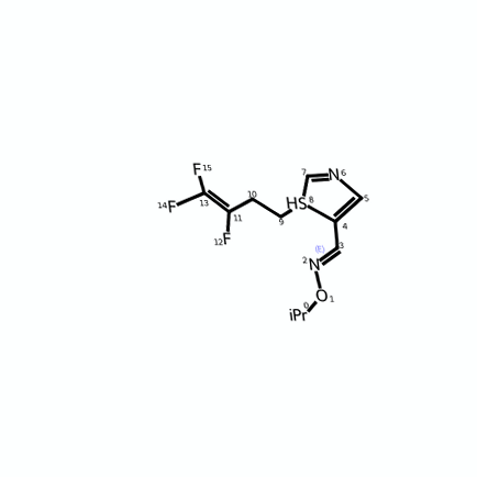 CC(C)O/N=C/C1=CN=C[SH]1CCC(F)=C(F)F